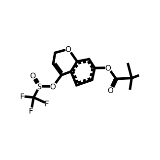 CC(C)(C)C(=O)Oc1ccc2c(c1)OCC=C2OS(=O)C(F)(F)F